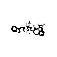 CC(C)(NC(=O)Cc1csc2ccccc12)C(=O)N[C@H]1CCc2cccc3c2N(C1=O)[C@H](C(=O)O)C3